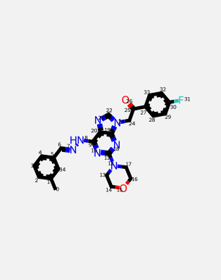 Cc1cccc(C=NNc2nc(N3CCOCC3)nc3c2ncn3CC(=O)c2ccc(F)cc2)c1